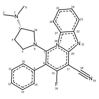 CN(C)[C@H]1CCN(c2c(-c3ccccc3)c(F)c(C#N)c3nc4ccccc4n23)C1